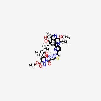 CCn1c(C2=C([C@H](C)OC)N=CC(C)C2)c(CC(C)(C)CO)c2nc(C3CSC(C[C@H](NC(=O)OC(C)(C)C)C(=O)N4CCC[C@@H](C(=O)OC)N4)=N3)ccc21